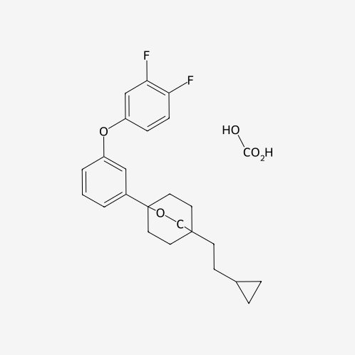 Fc1ccc(Oc2cccc(C34CCC(CCC5CC5)(CC3)CO4)c2)cc1F.O=C(O)O